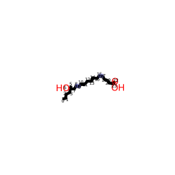 CCCCC(C)(O)C/C=C/C=CCC=CC/C=C\CCCC(=O)O